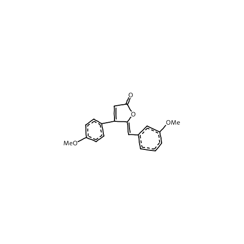 COc1ccc(C2=CC(=O)OC2=Cc2cccc(OC)c2)cc1